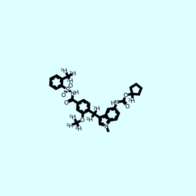 [2H]C([2H])([2H])Oc1cc(C(=O)NS(=O)(=O)c2ccccc2C([2H])([2H])[2H])ccc1C([2H])([2H])c1cn(C)c2ccc(NC(=O)OC3([2H])CCCC3)cc12